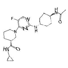 CC(=O)N[C@H]1CC[C@H](Nc2ncc(F)c(N3CCC[C@H](C(=O)NC4CC4)C3)n2)CC1